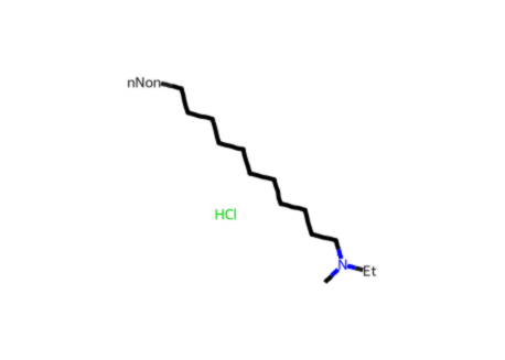 CCCCCCCCCCCCCCCCCCCCN(C)CC.Cl